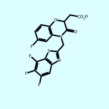 O=C(O)CC1Oc2ccc(F)cc2N(Cc2nc3cc(F)c(F)c(F)c3s2)C1=O